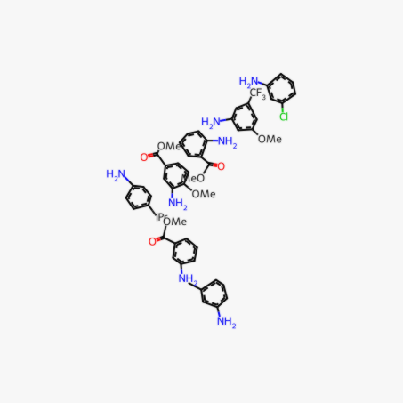 CC(C)c1ccc(N)cc1.COC(=O)c1ccc(OC)c(N)c1.COC(=O)c1cccc(N)c1.COC(=O)c1ccccc1N.COc1cc(N)cc(C(F)(F)F)c1.Cc1cccc(N)c1.Nc1cccc(Cl)c1